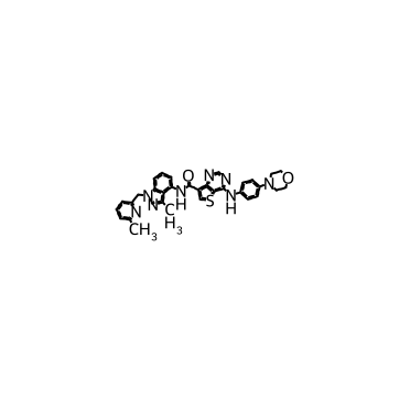 Cc1cccc(Cn2nc(C)c3c(NC(=O)c4csc5c(Nc6ccc(N7CCOCC7)cc6)ncnc45)cccc32)n1